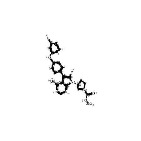 CC(C)(C)OC(=O)N1CC[C@@H](n2c(F)c(-c3ccc(Oc4cccc(F)c4)cc3)c3c(N)ncnc32)C1